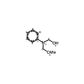 COCN(CO)c1ccccc1